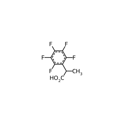 CC(C(=O)O)c1c(F)c(F)c(F)c(F)c1F